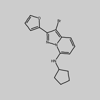 Brc1c(-c2ccco2)nn2c(NC3CCCC3)cccc12